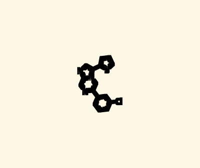 Clc1cccc(-c2cn3c(-c4cccs4)cnc3cn2)c1